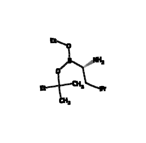 CCOB(OC(C)(C)CC)[C@H](N)CC(C)C